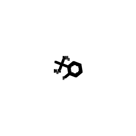 CC(N)(N)c1ccccc1F